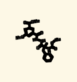 COC(=O)c1cc(C(=O)NNC(=O)C(C)(Cc2ccccc2)NC(=O)OC(C)(C)C)cc(OC)n1